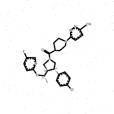 C[C@H](Oc1ccc(F)cn1)[C@H]1CN(C(=O)C2CCN(c3ccc(C#N)nn3)CC2)C[C@@H]1c1ccc(Cl)cc1